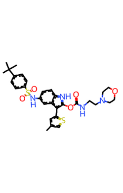 Cc1csc(-c2c(OC(=O)NCCN3CCOCC3)[nH]c3ccc(NS(=O)(=O)c4ccc(C(C)(C)C)cc4)cc23)c1